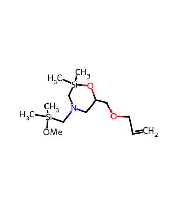 C=CCOCC1CN(C[Si](C)(C)OC)C[Si](C)(C)O1